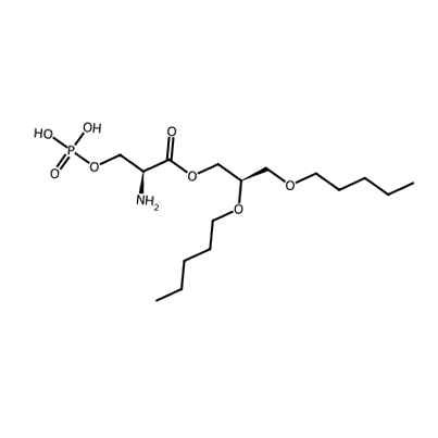 CCCCCOC[C@H](COC(=O)[C@@H](N)COP(=O)(O)O)OCCCCC